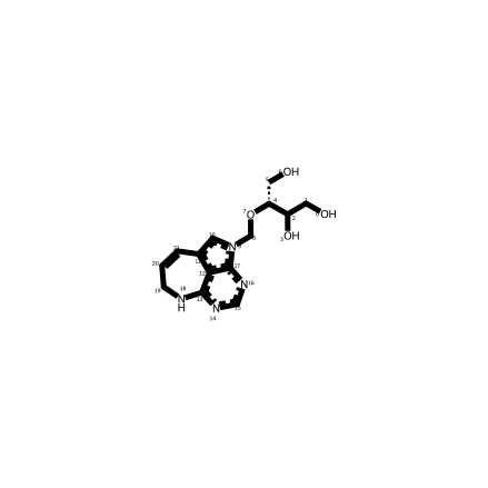 OCC(O)[C@@H](CO)OCn1cc2c3c(ncnc31)NCC=C2